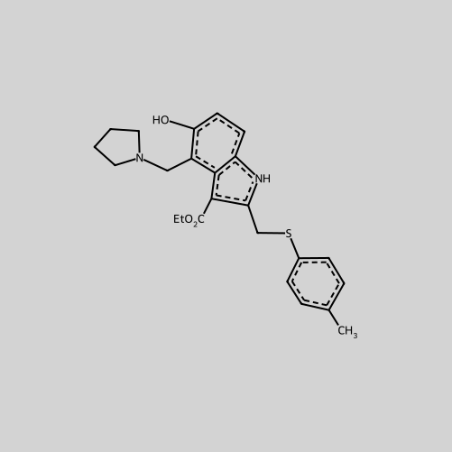 CCOC(=O)c1c(CSc2ccc(C)cc2)[nH]c2ccc(O)c(CN3CCCC3)c12